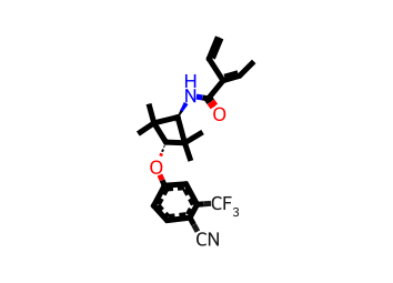 C=C/C(=C\C)C(=O)N[C@H]1C(C)(C)[C@H](Oc2ccc(C#N)c(C(F)(F)F)c2)C1(C)C